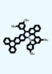 CC(C)(C)c1cc(C2c3cc4cc5c6ccccc6c6ccccc6c5cc4cc3B3c4c2cc2ccccc2c4-c2cc(C(C)(C)C)cc4c5cc(C(C)(C)C)ccc5n3c24)cc(C(C)(C)C)c1